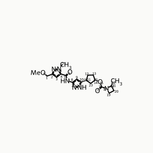 COCc1cc(C(=O)Nc2cc([C@H]3CC[C@@H](OC(=O)N4CC[C@@H]4C)C3)[nH]n2)n(C)n1